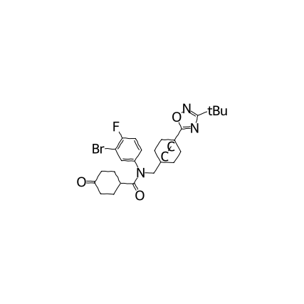 CC(C)(C)c1noc(C23CCC(CN(C(=O)C4CCC(=O)CC4)c4ccc(F)c(Br)c4)(CC2)CC3)n1